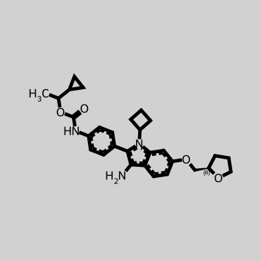 CC(OC(=O)Nc1ccc(-c2c(N)c3ccc(OC[C@H]4CCCO4)cc3n2C2CCC2)cc1)C1CC1